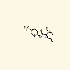 C=C/C=C(\C(F)=C/C)c1nc2cc(C(F)(F)F)cnc2o1